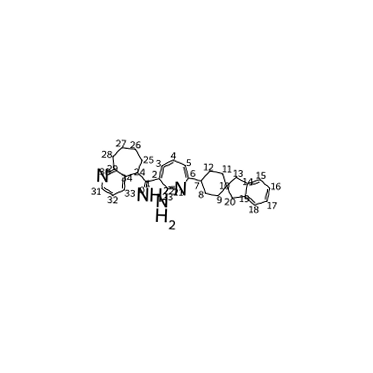 N=C(C1=C=CC=C(C2CCC3(CC2)Cc2ccccc2C3)N=C1N)C1CCCCc2ncccc21